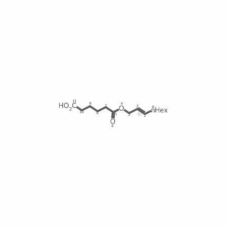 CCCCCC/C=C/COC(=O)CCCCC(=O)O